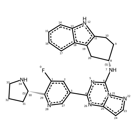 Fc1cc(-c2nc(N[C@H]3CCc4[nH]c5ccccc5c4C3)n3nccc3n2)cnc1[C@@H]1CCCN1